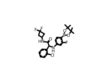 CC1(C)OB(c2ccc(NC(C(=O)NC3CC(F)(F)C3)c3ccccc3Cl)cc2F)OC1(C)C